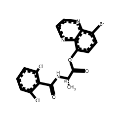 C[C@H](NC(=O)c1c(Cl)cccc1Cl)C(=O)Oc1ccc(Br)c2nccnc12